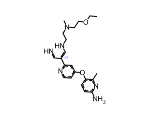 CCOCCN(C)CCN/C=C(\C=N)c1cc(Oc2ccc(N)nc2C)ccn1